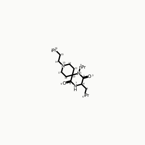 CCCN1C(=O)C(CC(C)C)NC(=O)C12CCN(CCC(C)C)CC2